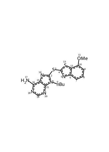 CCCCn1c(Sc2nc3cccc(OC)c3s2)nc2c(N)ncnc21